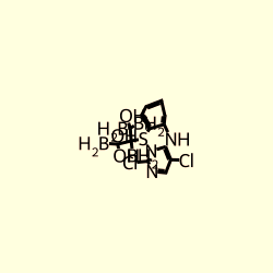 BC(B)(O)C(B)(Sc1ccccc1Nc1nc(Cl)ncc1Cl)C(B)(O)O